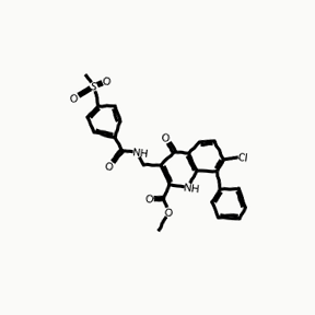 COC(=O)c1[nH]c2c(-c3ccccc3)c(Cl)ccc2c(=O)c1CNC(=O)c1ccc(S(C)(=O)=O)cc1